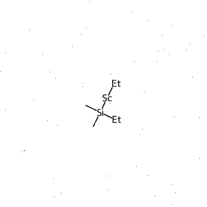 C[CH2][Sc][Si](C)(C)CC